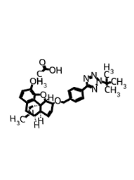 CC(=O)O.CN1CC[C@]23c4c5ccc(O)c4O[C@H]2[C@@H](OCc2ccc(-c4nnn(C(C)(C)C)n4)cc2)C=C[C@H]3[C@H]1C5